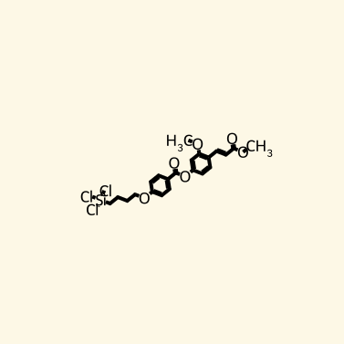 COC(=O)C=Cc1ccc(OC(=O)c2ccc(OCCCC[Si](Cl)(Cl)Cl)cc2)cc1OC